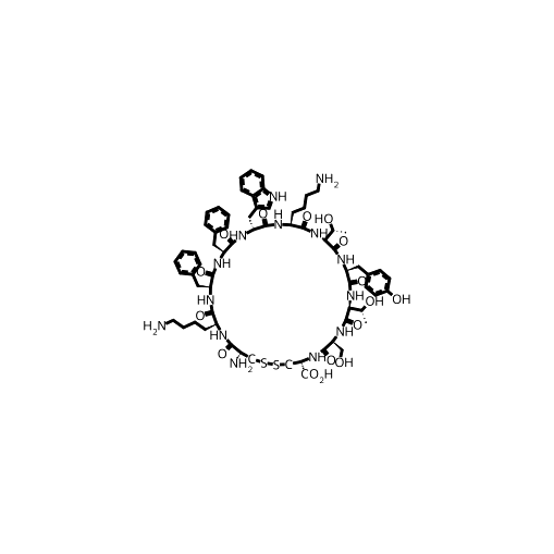 C[C@@H](O)[C@@H]1NC(=O)[C@H](Cc2ccc(O)cc2)NC(=O)[C@H]([C@@H](C)O)NC(=O)[C@H](CCCCN)NC(=O)[C@@H](Cc2c[nH]c3ccccc23)NC(=O)[C@H](Cc2ccccc2)NC(=O)[C@H](Cc2ccccc2)NC(=O)[C@H](CCCCN)NC(=O)[C@@H](N)CSSC[C@@H](C(=O)O)NC(=O)[C@H](CO)NC1=O